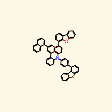 c1cc(-c2ccccc2N(c2ccc(-c3cccc4c3oc3ccccc34)cc2)c2ccc(-c3cccc4sc5ccccc5c34)cc2)cc(-c2cccc3ccccc23)c1